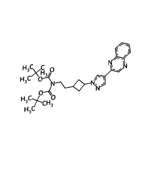 CC(C)(C)OC(=O)N(CCC1CC(n2cc(-c3cnc4ccccc4n3)cn2)C1)C(=O)OC(C)(C)C